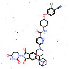 N#Cc1ccc(OC2CCC(NC(=O)c3ccc(N4CCC(CN5C6CC5CN(c5ccc7c(c5)C(=O)N(N5CCC(=O)NC5=O)C7=O)C6)CC4)nn3)CC2)cc1Cl